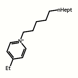 CCCCCCCCCCCC[n+]1ccc(CC)cc1